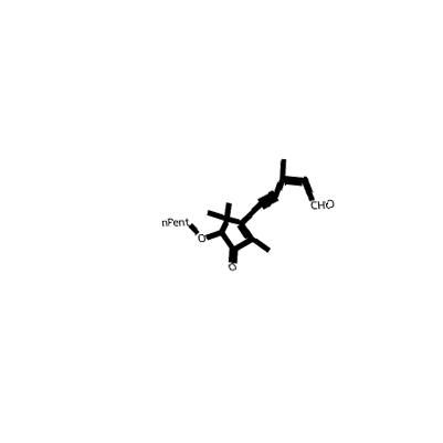 CCCCCOC1C(=O)C(C)=C(C#CC(C)=CC=O)C1(C)C